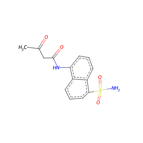 CC(=O)CC(=O)Nc1cccc2c(S(N)(=O)=O)cccc12